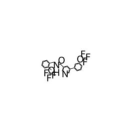 O=C(NCc1ccccc1OC(F)(F)F)c1cncc(-c2cccc(OC(F)(F)F)c2)c1